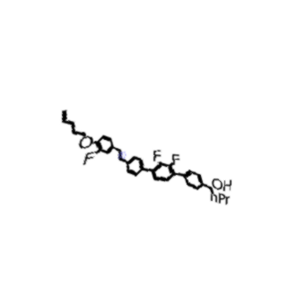 C=CCCCOc1ccc(/C=C/c2ccc(-c3ccc(-c4ccc(C(O)CCC)cc4)c(F)c3F)cc2)cc1F